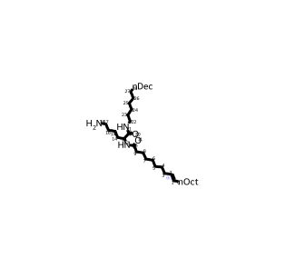 CCCCCCCC/C=C/CCCCCCCC(=O)NC(CCCCN)C(=O)NCCCCCCCCCCCCCCCC